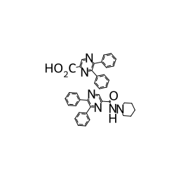 O=C(NN1CCCCC1)c1cnc(-c2ccccc2)c(-c2ccccc2)n1.O=C(O)c1cnc(-c2ccccc2)c(-c2ccccc2)n1